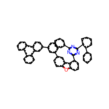 c1ccc(-c2nc(-c3ccccc3-c3ccccc3)nc(-c3cccc4oc5ccc(-c6cccc(-c7ccc8c9ccccc9c9ccccc9c8c7)c6)cc5c34)n2)cc1